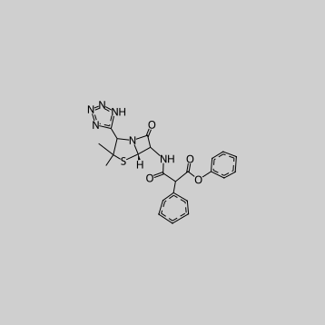 CC1(C)S[C@H]2C(NC(=O)C(C(=O)Oc3ccccc3)c3ccccc3)C(=O)N2C1c1nnn[nH]1